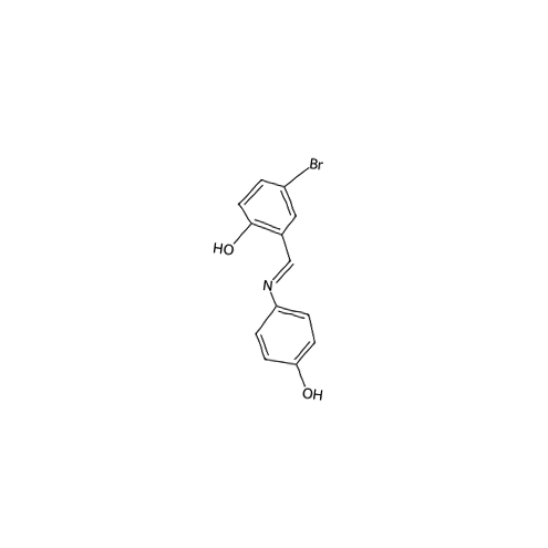 Oc1ccc(/N=C/c2cc(Br)ccc2O)cc1